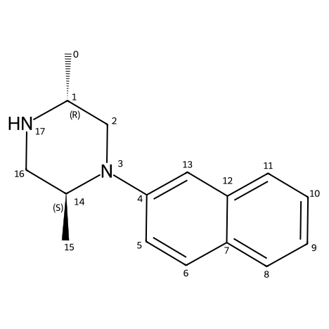 C[C@@H]1CN(c2ccc3ccccc3c2)[C@@H](C)CN1